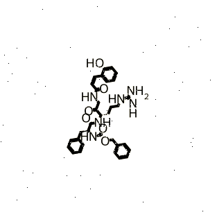 N=C(N)NCCC[C@H](NC(=O)[C@H](Cc1ccccc1)NC(=O)OCc1ccccc1)C(=O)CNC(=O)/C=C\c1ccccc1O